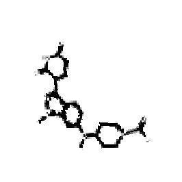 CN(c1ccc2c(C3CCC(=O)NC3=O)nn(C)c2c1)C1CCN(C(=O)O)CC1